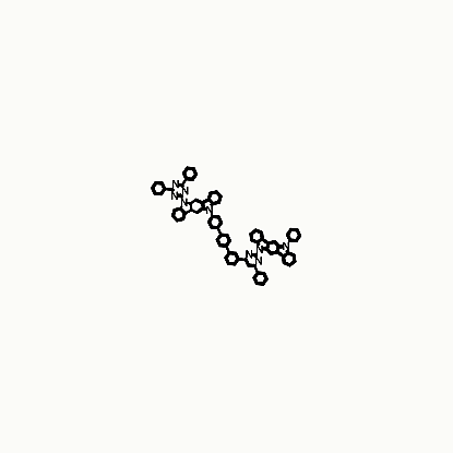 C1=c2c(n(-c3ccc(-c4ccc(-c5cccc(-c6cc(-c7ccccc7)nc(-n7c8ccccc8c8cc9c(cc87)c7ccccc7n9-c7ccccc7)n6)c5)cc4)cc3)c3ccccc23)=CC2c3ccccc3N(c3nc(-c4ccccc4)nc(-c4ccccc4)n3)C12